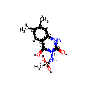 Cc1cc2[nH]c(=O)n(NS(C)(=O)=O)c(=O)c2cc1C